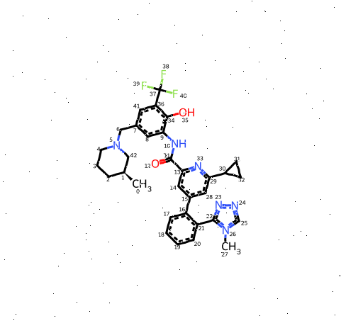 C[C@H]1CCCN(Cc2cc(NC(=O)c3cc(-c4ccccc4-c4nncn4C)cc(C4CC4)n3)c(O)c(C(F)(F)F)c2)C1